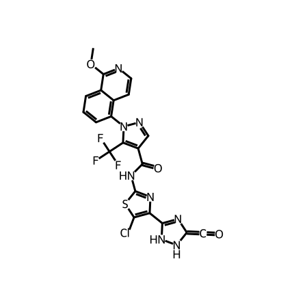 COc1nccc2c(-n3ncc(C(=O)Nc4nc(C5=NC(=C=O)NN5)c(Cl)s4)c3C(F)(F)F)cccc12